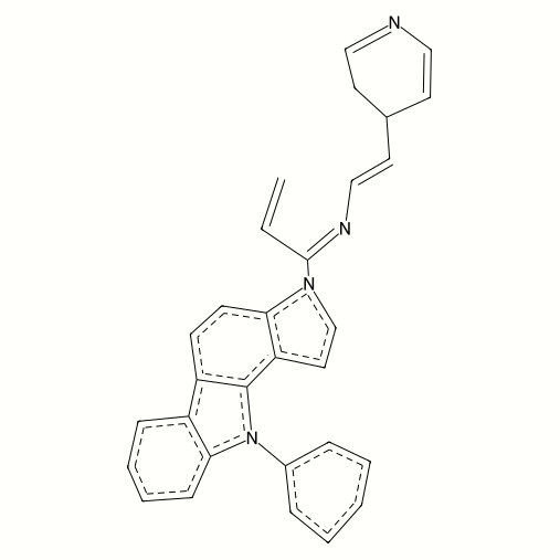 C=C/C(=N\C=C\C1C=CN=CC1)n1ccc2c1ccc1c3ccccc3n(-c3ccccc3)c12